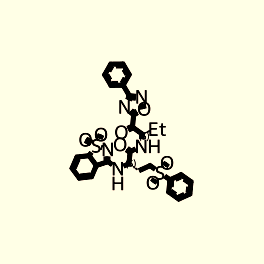 CC[C@H](NC(=O)[C@H](CCS(=O)(=O)c1ccccc1)NC1=NS(=O)(=O)C2C=CC=CC12)C(=O)c1nc(-c2ccccc2)no1